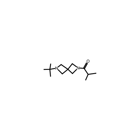 CC(C)C(=O)N1CC2(C1)CN(C(C)(C)C)C2